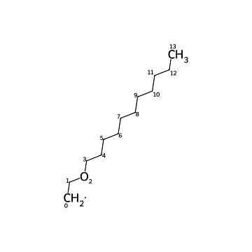 [CH2]COCCCCCCCCCCC